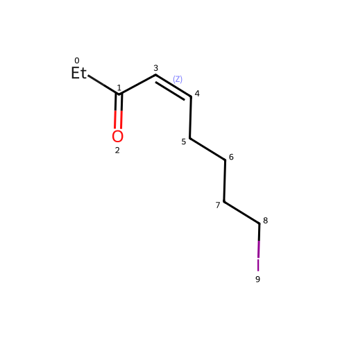 CCC(=O)/C=C\CCCCI